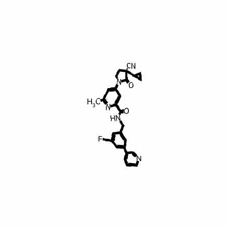 Cc1cc(N2CC[C@@](C#N)(C3CC3)C2=O)cc(C(=O)NCc2cc(F)cc(-c3cccnc3)c2)n1